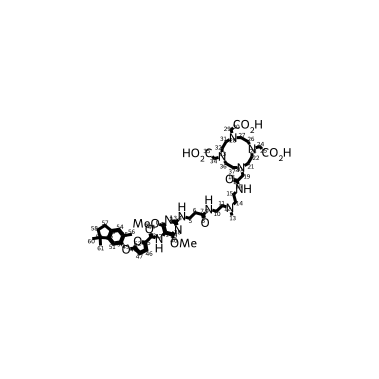 COc1nc(NCCC(=O)NCCN(C)CCNC(=O)CN2CCN(CC(=O)O)CCN(CC(=O)O)CCN(CC(=O)O)CC2)nc(OC)c1NC(=O)c1ccc(Oc2cc3c(cc2C)CCC3(C)C)o1